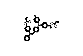 C=CC(=O)OC(=C)c1ccc(N(c2ccc(C)cc2)c2ccc(C=C(c3ccccc3)c3ccc(OC(=O)C=C)cc3)cc2)cc1